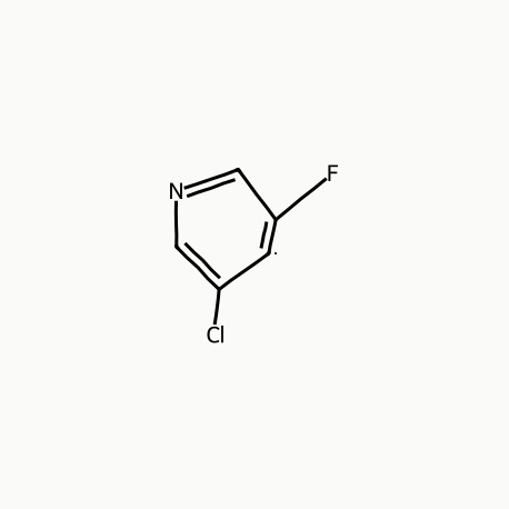 Fc1[c]c(Cl)cnc1